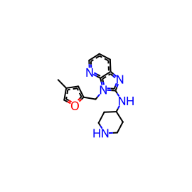 Cc1coc(Cn2c(NC3CCNCC3)nc3cccnc32)c1